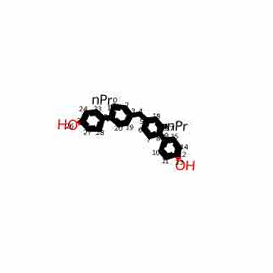 CCCc1cc(Cc2ccc(-c3ccc(O)cc3)c(CCC)c2)ccc1-c1ccc(O)cc1